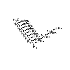 CCCCCCC.CCCCCCC.CCCCCCC.CCCCCCC.CCCCCCC.CCCCCCC.CCCCCCC.CCCCCCC.CCCCCCC.CCCCCCC.CCCCCCC.CCCCCCC.O